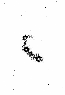 C[C@@H]1CCCN1CCCOc1ccc(-n2cc(NC(=O)c3ccncc3)cn2)cc1